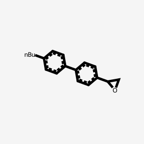 CCCCc1ccc(-c2ccc(C3CO3)cc2)cc1